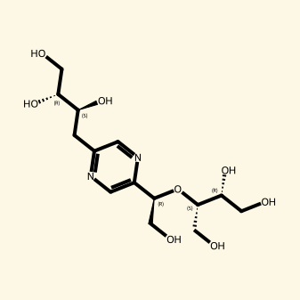 OC[C@H](O[C@@H](CO)[C@H](O)CO)c1cnc(C[C@H](O)[C@H](O)CO)cn1